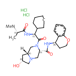 CN[C@@H](C)C(=O)N[C@H](C(=O)N1C[C@H]2C[C@@H](O)CN2C[C@H]1C(=O)N[C@@H]1CCOc2ccccc21)C1CCCCC1.Cl.Cl